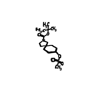 CC(C)(C)OC(=O)N1CCC2(CCC(OS(C)(=O)=O)CC2)C1